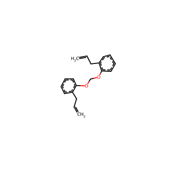 C=CCc1ccccc1OCOc1ccccc1CC=C